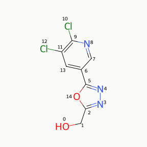 OCc1nnc(-c2cnc(Cl)c(Cl)c2)o1